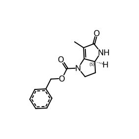 CC1=C2[C@H](CCN2C(=O)OCc2ccccc2)NC1=O